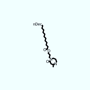 CCCCCCCCCCCCCCCCCCCCCC(=O)OCCCN1CCC/N=C(/C)CC1=O